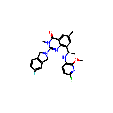 COc1nc(Cl)ccc1N[C@H](C)c1cc(C)cc2c(=O)n(C)c(N3Cc4ccc(F)cc4C3)nc12